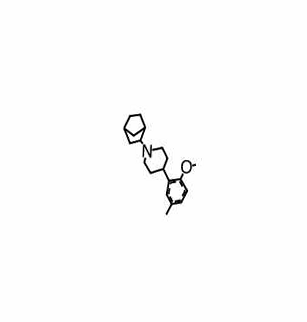 COc1ccc(C)cc1C1CCN(C2CC3CCC2C3)CC1